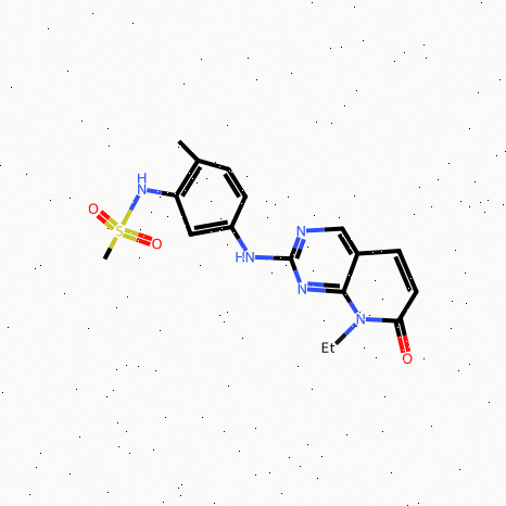 CCn1c(=O)ccc2cnc(Nc3ccc(C)c(NS(C)(=O)=O)c3)nc21